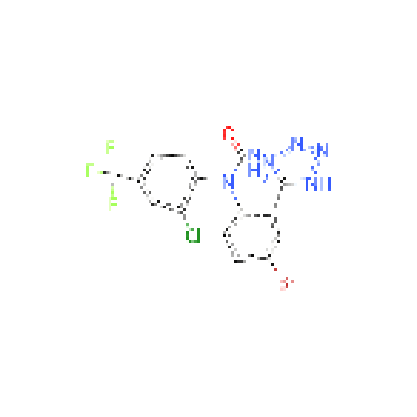 NC(=O)N(c1ccc(C(F)(F)F)cc1Cl)c1ccc(Br)cc1-c1nnn[nH]1